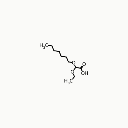 CCCCCCCOC(OCC)C(=O)O